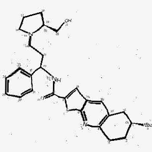 CC(C)(C)[C@H]1CCc2nc3sc(C(=O)NC(CCN4CCC[C@H]4CO)c4ccccc4)cc3cc2C1